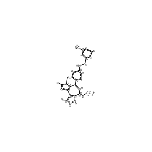 Cc1sc2c(c1C)C(c1ccc(NCc3cccc(C#N)c3)cc1)=N[C@@H](CC(=O)O)c1nnc(C)n1-2